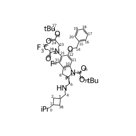 CC(C)C1CC(CNC[C@H]2Cc3c(cc(OCc4ccccc4)c(N(CC(=O)OC(C)(C)C)C(=O)C(F)(F)F)c3F)N2C(=O)OC(C)(C)C)C1